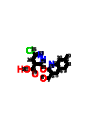 Cc1ccc2cc(C=O)c(Oc3nnc(Cl)cc3C(=O)O)nc2c1